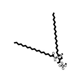 CCCCCCCCCCCCCCCCCCC1=[N+](NC(=O)CCCCCCCCCCCCCCCCC)C(CC)CN1C.COS(=O)(=O)[O-]